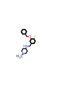 CN1CCC(NCc2ccc(F)c(OCc3ccccc3)c2)CC1